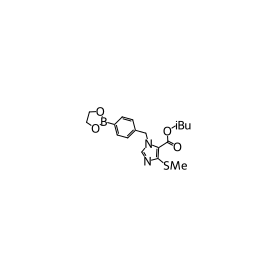 CCC(C)OC(=O)c1c(SC)ncn1Cc1ccc(B2OCCO2)cc1